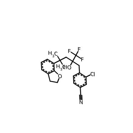 CC(C)(CC(O)(Cc1ccc(C#N)cc1Cl)C(F)(F)F)c1cccc2c1OCC2